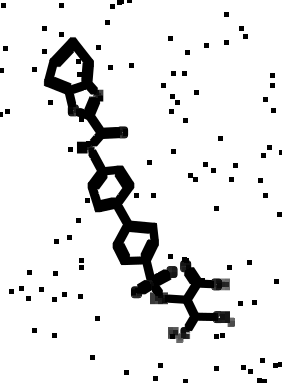 CC(C)C(NS(=O)(=O)c1ccc(-c2ccc(NC(=O)c3nc4ccccc4o3)cc2)cc1)C(=O)O